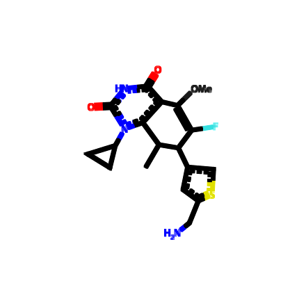 COC1=C(F)C(c2csc(CN)c2)C(C)c2c1c(=O)[nH]c(=O)n2C1CC1